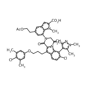 CC(=O)OCCc1cc(N2CC(C)n3c(c(CCCOc4cc(C)c(Cl)c(C)c4)c4ccc(Cl)c(-c5c(C)nn(C)c5C)c43)C2=O)c2c(c1)cc(C(=O)O)n2C